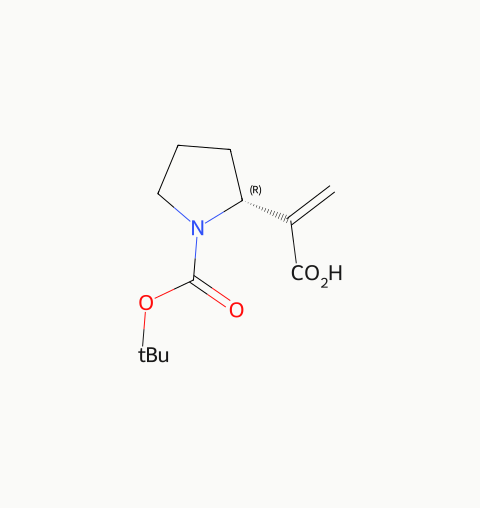 C=C(C(=O)O)[C@H]1CCCN1C(=O)OC(C)(C)C